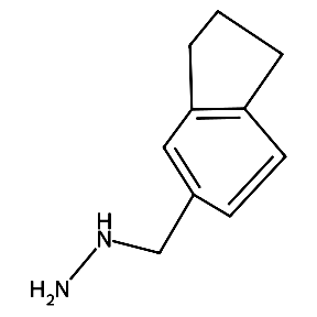 NNCc1ccc2c(c1)CCC2